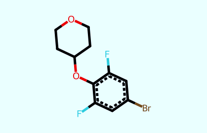 Fc1cc(Br)cc(F)c1OC1CCOCC1